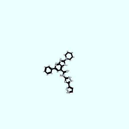 O=C(Nc1nnc(-c2ccno2)o1)c1cc(-c2ccccc2)nc2nc(N3CCCCC3)sc12